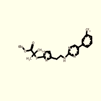 CC(C)(C)OC(=O)C(C)(C)Sc1nc(CCNc2ncc(-c3cccc(C(F)(F)F)c3)cn2)cs1